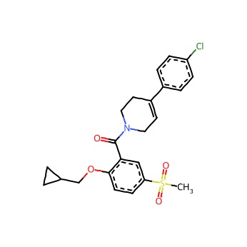 CS(=O)(=O)c1ccc(OCC2CC2)c(C(=O)N2CC=C(c3ccc(Cl)cc3)CC2)c1